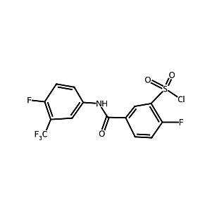 O=C(Nc1ccc(F)c(C(F)(F)F)c1)c1ccc(F)c(S(=O)(=O)Cl)c1